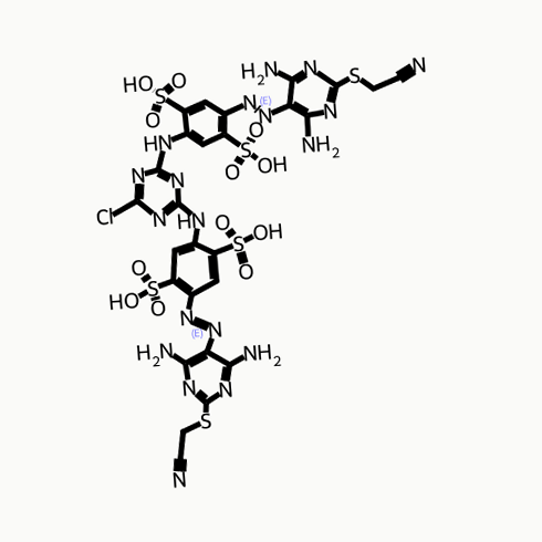 N#CCSc1nc(N)c(/N=N/c2cc(S(=O)(=O)O)c(Nc3nc(Cl)nc(Nc4cc(S(=O)(=O)O)c(/N=N/c5c(N)nc(SCC#N)nc5N)cc4S(=O)(=O)O)n3)cc2S(=O)(=O)O)c(N)n1